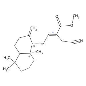 C=C1CCC2C(C)(C)CCC[C@]2(C)[C@H]1C/C=C(\CC#N)C(=O)OC